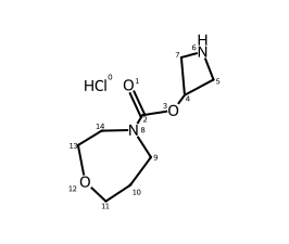 Cl.O=C(OC1CNC1)N1CCCOCC1